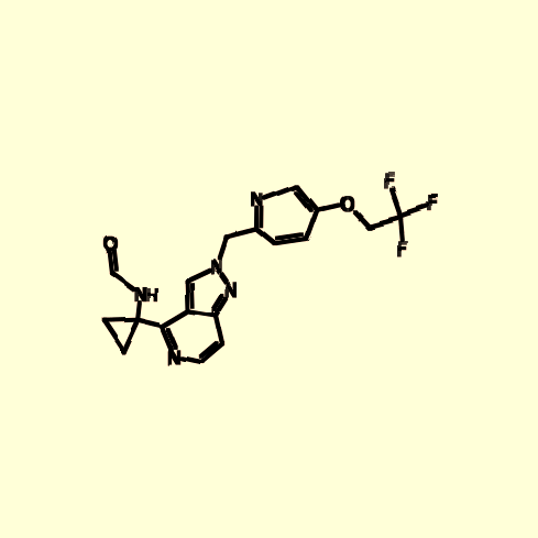 O=CNC1(c2nccc3nn(Cc4ccc(OCC(F)(F)F)cn4)cc23)CC1